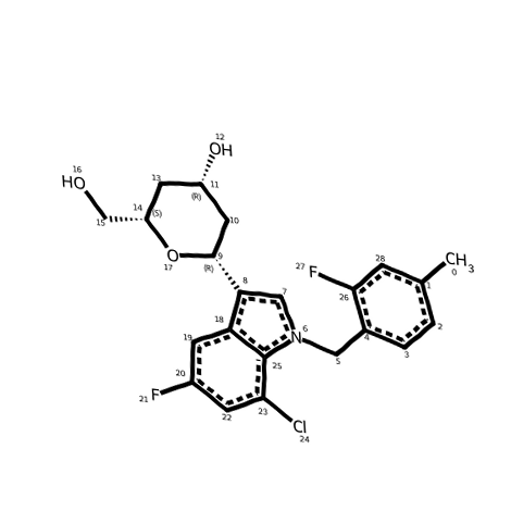 Cc1ccc(Cn2cc([C@H]3C[C@@H](O)C[C@@H](CO)O3)c3cc(F)cc(Cl)c32)c(F)c1